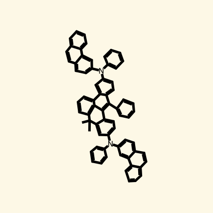 CC1(C)c2cc(N(c3ccccc3)c3ccc4ccc5ccccc5c4c3)ccc2-c2c(-c3ccccc3)c3ccc(N(c4ccccc4)c4ccc5ccc6ccccc6c5c4)cc3c3cccc1c23